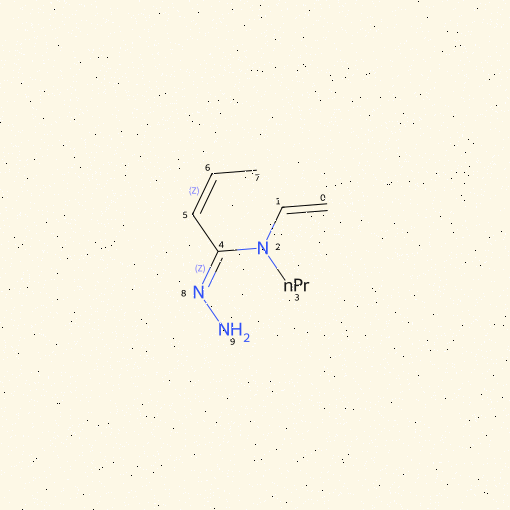 C=CN(CCC)C(/C=C\C)=N\N